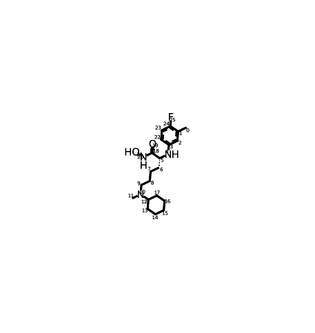 Cc1cc(N[C@H](CCCCN(C)C2CCCCC2)C(=O)NO)ccc1F